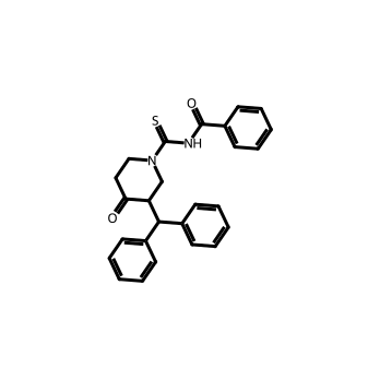 O=C(NC(=S)N1CCC(=O)C(C(c2ccccc2)c2ccccc2)C1)c1ccccc1